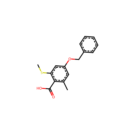 CSc1cc(OCc2ccccc2)cc(C)c1C(=O)O